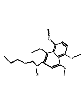 CCCCCC(O)c1cc(OC)c2c(OC)ccc(OC)c2c1OC